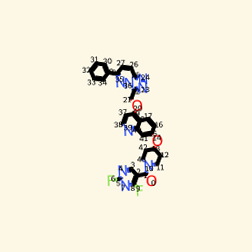 O=C(c1cnc(F)nc1F)N1CCC(Oc2ccc3c(OCc4nnc5ccc(-c6ccccc6)nn45)ccnc3c2)CC1